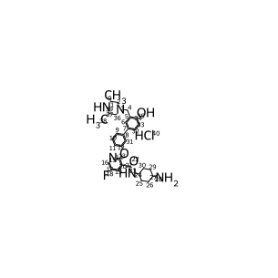 C[C@@H]1CN(Cc2cc(-c3cccc(Oc4ncc(F)cc4C(=O)NC4CCC(N)CC4)c3)ccc2O)C[C@H](C)N1.Cl